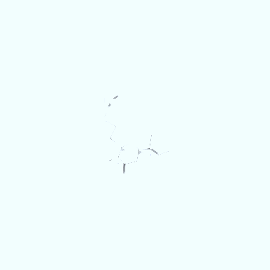 C/C(=C\I)[C@H]1CC(=O)[C@@H](C)[C@@H](CCOB=[PH]=S)O1